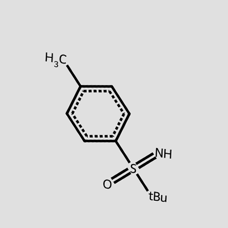 Cc1ccc(S(=N)(=O)C(C)(C)C)cc1